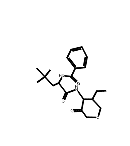 CCC1COCC(=O)C1NC(=O)C(CC(C)(C)C)NC(=O)c1ccccc1